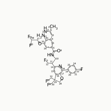 C/C(N)=C/c1cc(C(=O)NCC(CF)c2cc3c(c(-c4ccc(F)cc4)n2)OCC3(CF)CF)cc(OCC(F)F)c1N